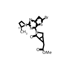 COC(=O)CC1C2CN(c3nc(N4CC[C@@H]4C)nc4cc(Br)sc34)C(=O)C12